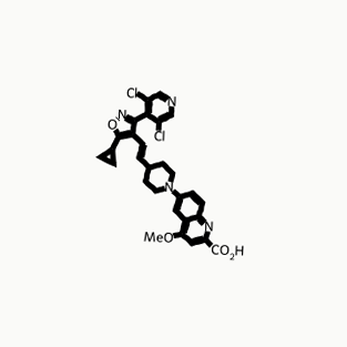 COc1cc(C(=O)O)nc2ccc(N3CCC(C=Cc4c(-c5c(Cl)cncc5Cl)noc4C4CC4)CC3)cc12